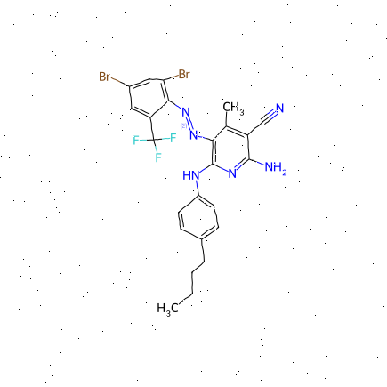 CCCCc1ccc(Nc2nc(N)c(C#N)c(C)c2/N=N/c2c(Br)cc(Br)cc2C(F)(F)F)cc1